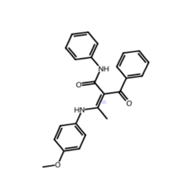 COc1ccc(N/C(C)=C(\C(=O)Nc2ccccc2)C(=O)c2ccccc2)cc1